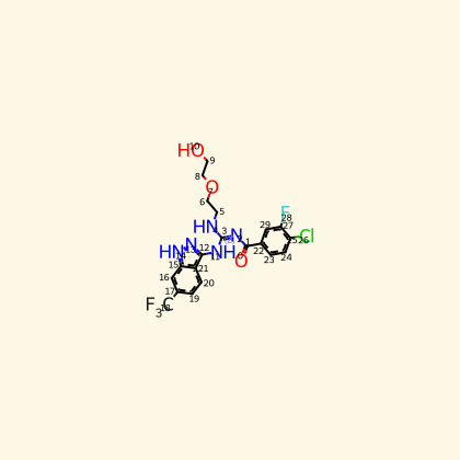 O=C(/N=C(/NCCOCCO)Nc1n[nH]c2cc(C(F)(F)F)ccc12)c1ccc(Cl)c(F)c1